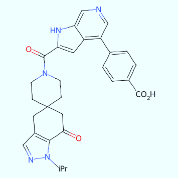 CC(C)n1ncc2c1C(=O)CC1(CCN(C(=O)c3cc4c(-c5ccc(C(=O)O)cc5)cncc4[nH]3)CC1)C2